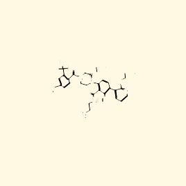 CCOc1ncccc1-c1ccc(N2CCN(C(=O)c3ccc(OC)cc3C(F)(F)F)C[C@H]2CC)c(C(=O)NCCNC)c1F